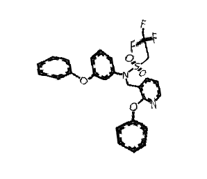 O=S(=O)(CC(F)(F)F)N(Cc1cccnc1Oc1ccccc1)c1cccc(Oc2ccccc2)c1